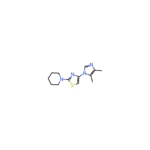 Cc1ncn(-c2csc(N3CCCCC3)n2)c1C